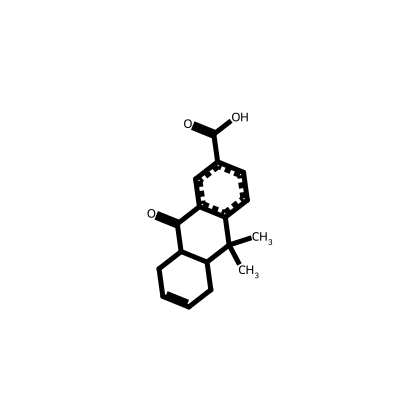 CC1(C)c2ccc(C(=O)O)cc2C(=O)C2CC=CCC21